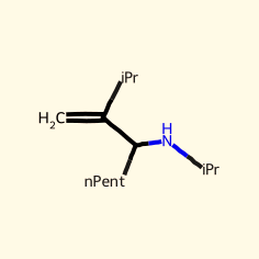 C=C(C(C)C)C(CCCCC)NC(C)C